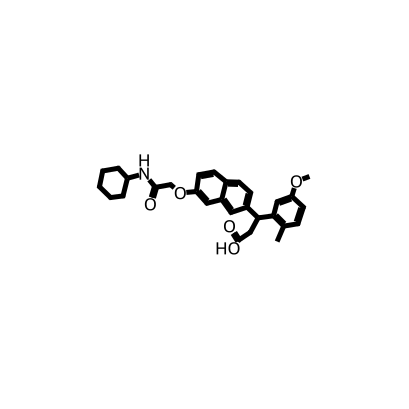 COc1ccc(C)c(C(CC(=O)O)c2ccc3ccc(OCC(=O)NC4CCCCC4)cc3c2)c1